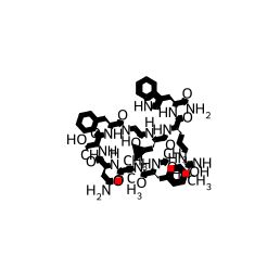 CNC(=N)NCCC[C@H](NC(=O)[C@H](CC1CC1)NC(=O)CNC(=O)[C@H](CC1CCCCC1)NC(=O)[C@@H](NC(=O)[C@H](CC(N)=O)NC(=O)C(C)(C)NC(=O)[C@@H](Cc1ccc(O)cc1)NC(C)=O)[C@@H](C)O)C(=O)N[C@@H](Cc1c[nH]c2c1CCC=C2)C(N)=O